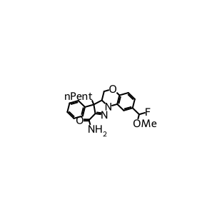 CCCCCC1(c2ccccc2)C(C(N)=O)=NN2c3cc(C(F)OC)ccc3OCC21